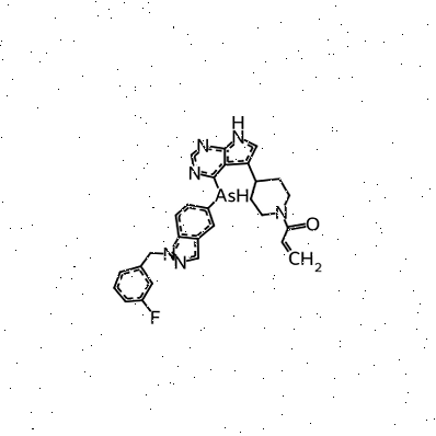 C=CC(=O)N1CCC(c2c[nH]c3ncnc([AsH]c4ccc5c(cnn5Cc5cccc(F)c5)c4)c23)CC1